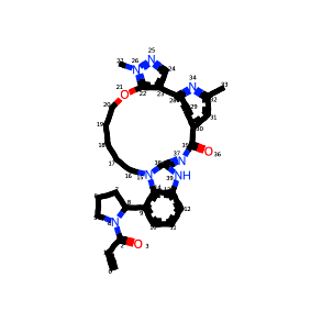 C=CC(=O)N1CCCC1c1cccc2c1N1CCCCCOc3c(cnn3C)-c3cc(cc(C)n3)C(=O)/N=C/1N2